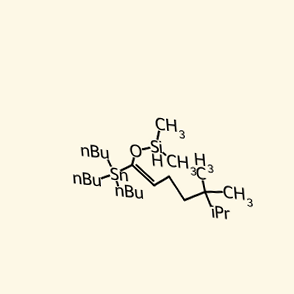 CCC[CH2][Sn]([CH2]CCC)([CH2]CCC)[C](=CCCC(C)(C)C(C)C)O[SiH](C)C